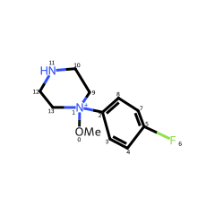 CO[N+]1(c2ccc(F)cc2)CCNCC1